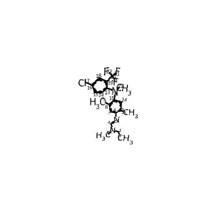 CCN(C)C=Nc1cc(C)c(N(C)c2ccc(Cl)cc2C(F)(F)F)cc1C